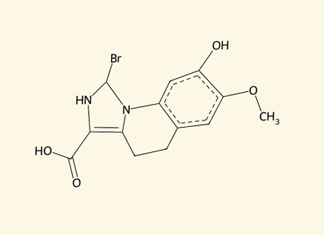 COc1cc2c(cc1O)N1C(=C(C(=O)O)NC1Br)CC2